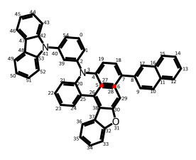 c1cc(N(c2ccc(-c3ccc4ccccc4c3)cc2)c2ccccc2-c2cccc3oc4ccccc4c23)cc(-n2c3ccccc3c3ccccc32)c1